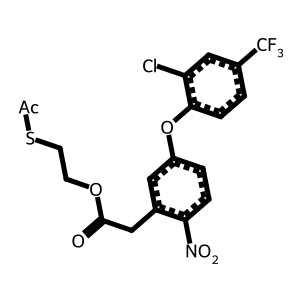 CC(=O)SCCOC(=O)Cc1cc(Oc2ccc(C(F)(F)F)cc2Cl)ccc1[N+](=O)[O-]